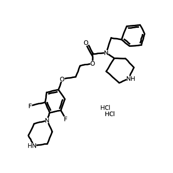 Cl.Cl.O=C(OCCOc1cc(F)c(N2CCNCC2)c(F)c1)N(Cc1ccccc1)C1CCNCC1